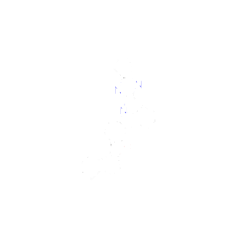 c1ccc2c(c1)ccc1oc3c(ccc4c3c3cccc5c6nc7ccccc7nc6n4c53)c12